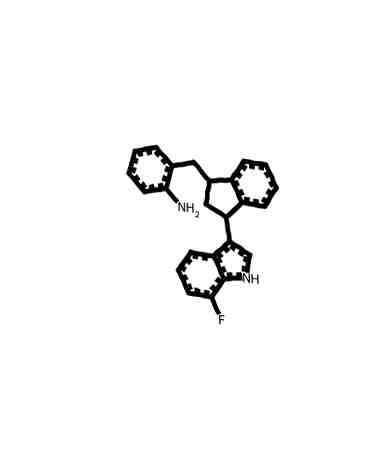 Nc1ccccc1CC1CC(c2c[nH]c3c(F)cccc23)c2ccccc21